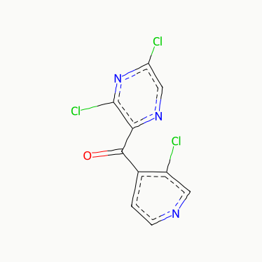 O=C(c1ccncc1Cl)c1ncc(Cl)nc1Cl